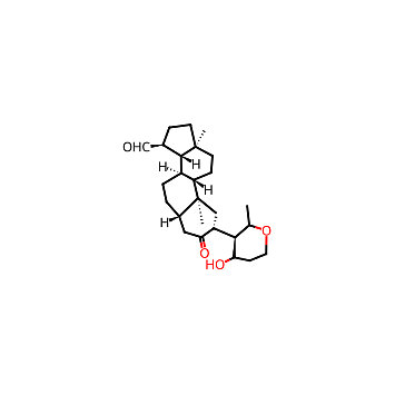 CC1OCCC(O)[C@H]1[C@H]1C[C@@]2(C)[C@@H](CC[C@H]3[C@@H]4[C@@H](C=O)CC[C@@]4(C)CC[C@@H]32)CC1=O